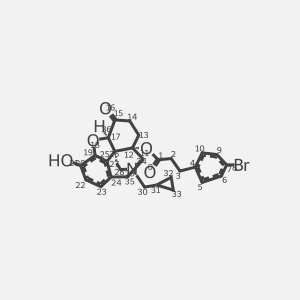 O=C(CCc1ccc(Br)cc1)O[C@@]12CCC(=O)[C@@H]3Oc4c(O)ccc5c4[C@@]31CCN(CC1CC1)C2C5